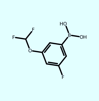 OB(O)c1cc(F)cc(OC(F)F)c1